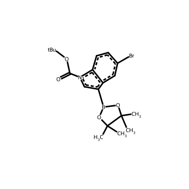 CC(C)(C)OC(=O)n1cc(B2OC(C)(C)C(C)(C)O2)c2cc(Br)ccc21